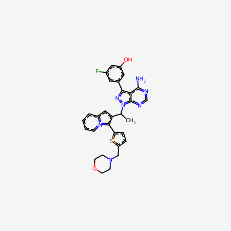 CC(c1cc2ccccn2c1-c1ccc(CN2CCOCC2)s1)n1nc(-c2cc(O)cc(F)c2)c2c(N)ncnc21